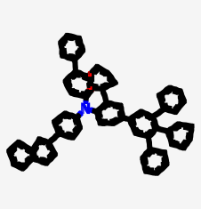 c1ccc(-c2ccc(N(c3ccc(-c4ccc5ccccc5c4)cc3)c3ccc(-c4cc(-c5ccccc5)c(-c5ccccc5)c(-c5ccccc5)c4)cc3-c3ccccc3)cc2)cc1